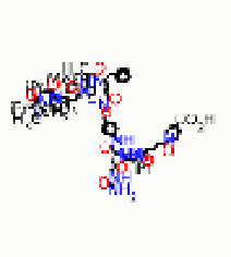 CC[C@H](C)[C@@H]([C@@H](CC(=O)N1CCC[C@H]1[C@H](OC)[C@@H](C)C(=O)N[C@H](/C=C/C(=O)NOCc1ccc(NC(=O)[C@@H](CCCNC(N)=O)NC(=O)C(NC(=O)CCCC(=O)N2CCC(C(=O)O)CC2)C(C)C)cc1)Cc1ccccc1)OC)N(C)C(=O)[C@@H](NC(=O)C(C(C)C)N(C)C)C(C)C